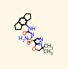 CC1(C)COc2c(S(N)(=O)=NC(=O)Nc3c4c(cc5c3CCC5)CCC4)cnn21